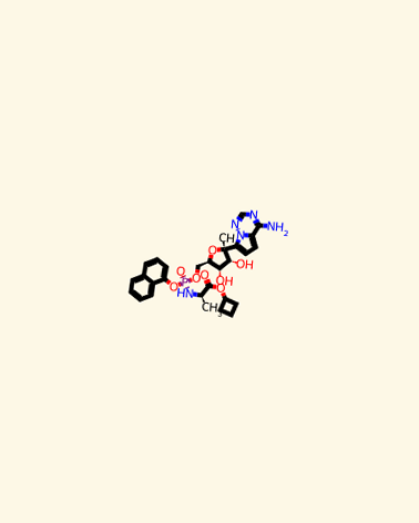 C[C@H](NP(=O)(OC[C@H]1O[C@@](C)(c2ccc3c(N)ncnn23)[C@H](O)[C@@H]1O)Oc1cccc2ccccc12)C(=O)OC1CCC1